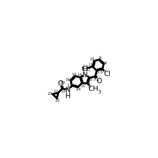 Cc1c(C(=O)c2c(Cl)cccc2Cl)[nH]c2ccc(NC(=O)C3CC3)cc12